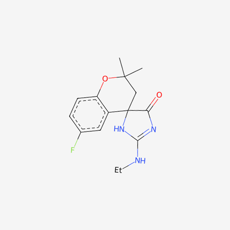 CCNC1=NC(=O)C2(CC(C)(C)Oc3ccc(F)cc32)N1